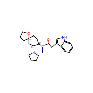 CN(C(=O)Cc1c[nH]c2ccccc12)[C@@H]1CC[C@]2(CCCO2)C[C@H]1N1CCCC1